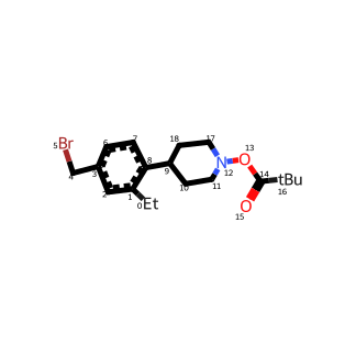 CCc1cc(CBr)ccc1C1CCN(OC(=O)C(C)(C)C)CC1